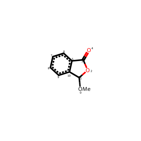 CO[C]1OC(=O)c2ccccc21